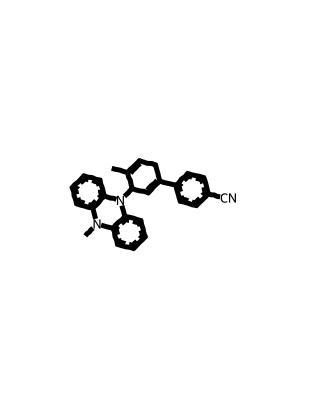 CC1=CCC(c2ccc(C#N)cc2)=CC1N1c2ccccc2N(C)c2ccccc21